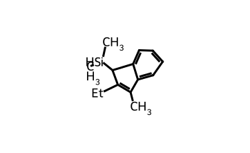 CCC1=C(C)c2ccccc2C1[SiH](C)C